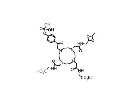 CCOC(=O)CNC(=O)CN1CCN(CC(=O)NCC(=O)O)CCN(CC(=O)c2ccc(OP(=O)(O)O)cc2)CCN(CC(=O)NCC2OC(C)O2)CC1